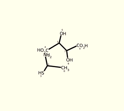 CC(N)S.O=C(O)C(O)C(O)C(=O)O